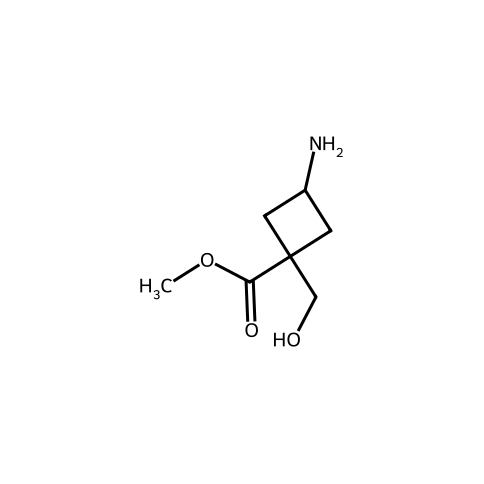 COC(=O)C1(CO)CC(N)C1